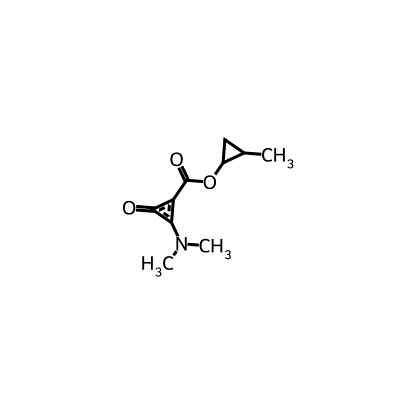 CC1CC1OC(=O)c1c(N(C)C)c1=O